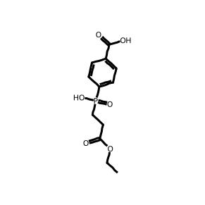 CCOC(=O)CCP(=O)(O)c1ccc(C(=O)O)cc1